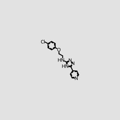 Clc1ccc(OCCNc2nnc(-c3ccncc3)[nH]2)cc1